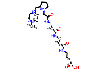 [13CH3][15N]1CC[15N](CC2CCC[15N]2CC(=O)N[13CH2][13CH2][13C](=O)N[13CH2][13CH2][13C](=O)NCC[13CH2][13C](=O)O)[13CH2][13CH2]1